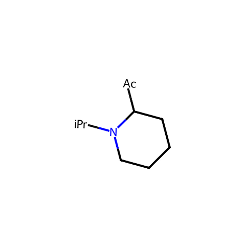 CC(=O)C1CCCCN1C(C)C